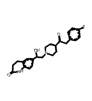 O=C1CCc2cc(C(O)CN3CCC(C(=O)Cc4ccc(F)cc4)CC3)ccc2N1